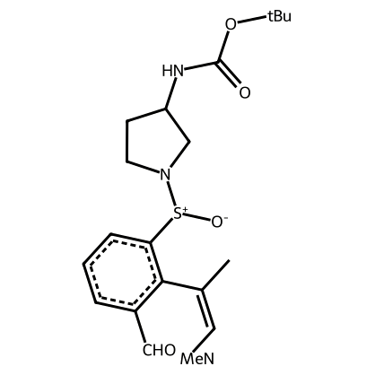 CN/C=C(/C)c1c(C=O)cccc1[S+]([O-])N1CCC(NC(=O)OC(C)(C)C)C1